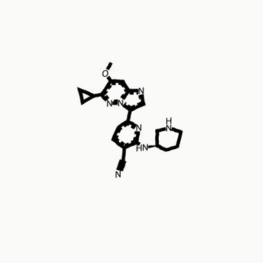 COc1cc2ncc(-c3ccc(C#N)c(N[C@@H]4CCCNC4)n3)n2nc1C1CC1